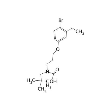 CCc1cc(OCCCN(CC(C)(C)C)C(=O)O)ccc1Br